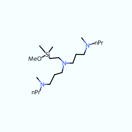 CCCN(C)CCCN(CCCN(C)CCC)CC[Si](C)(C)OC